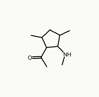 CNC1C(C)CC(C)C1C(C)=O